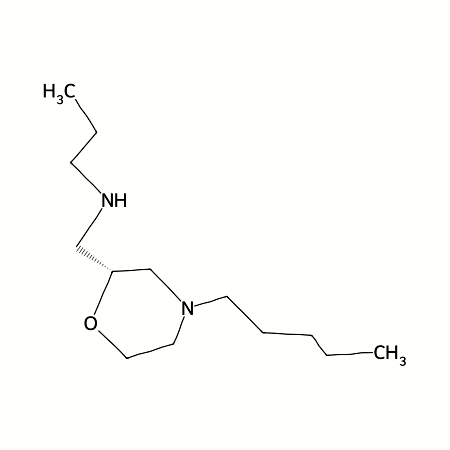 CCCCCN1CCO[C@H](CNCCC)C1